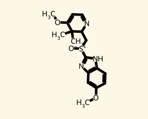 COC1=CC=NC(C[S+]([O-])c2nc3cc(OC)ccc3[nH]2)C1(C)C